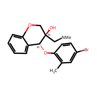 CNC[C@@]1(O)COc2ccccc2[C@H]1Oc1ccc(Br)cc1C